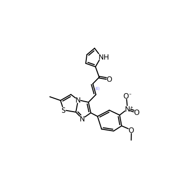 COc1ccc(-c2nc3sc(C)cn3c2/C=C/C(=O)c2ccc[nH]2)cc1[N+](=O)[O-]